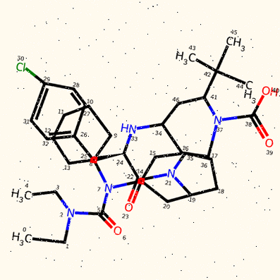 CCN(CC)C(=O)N(C1CCCCC1)C1CC2CCC(C1)N2C(=O)[C@@H](Cc1ccc(Cl)cc1)NC1CCN(C(=O)O)C(C(C)(C)C)C1